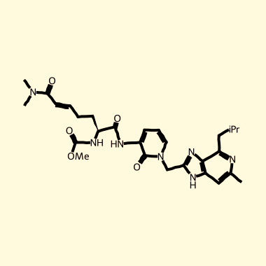 COC(=O)N[C@@H](CC/C=C/C(=O)N(C)C)C(=O)Nc1cccn(Cc2nc3c(CC(C)C)nc(C)cc3[nH]2)c1=O